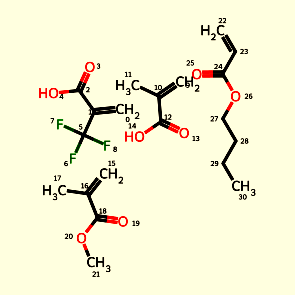 C=C(C(=O)O)C(F)(F)F.C=C(C)C(=O)O.C=C(C)C(=O)OC.C=CC(=O)OCCCC